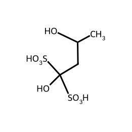 CC(O)CC(O)(S(=O)(=O)O)S(=O)(=O)O